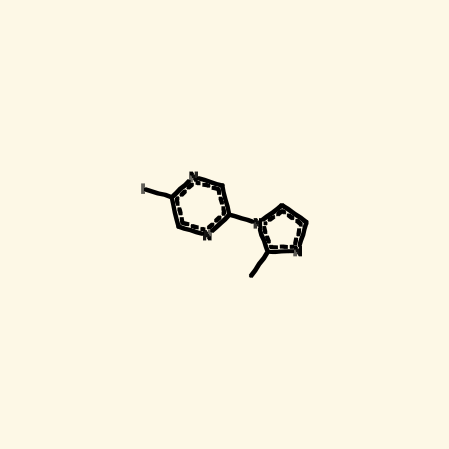 Cc1nccn1-c1cnc(I)cn1